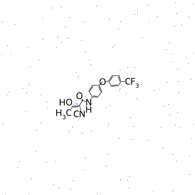 C/C(O)=C(\C#N)C(=O)Nc1ccc(Oc2ccc(C(F)(F)F)cc2)cc1